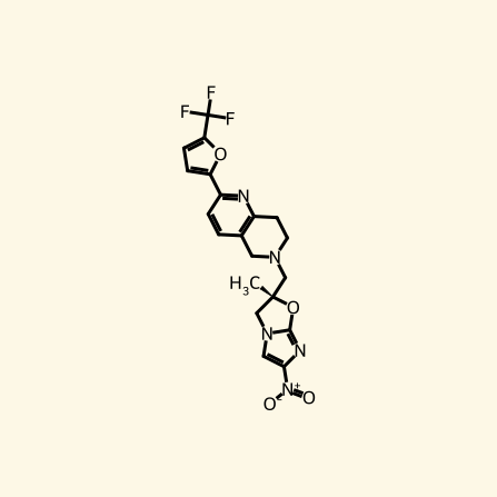 C[C@]1(CN2CCc3nc(-c4ccc(C(F)(F)F)o4)ccc3C2)Cn2cc([N+](=O)[O-])nc2O1